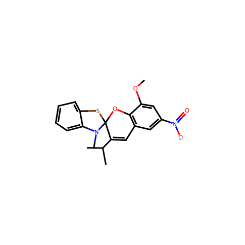 COc1cc([N+](=O)[O-])cc2c1OC1(Sc3ccccc3N1C)C(C(C)C)=C2